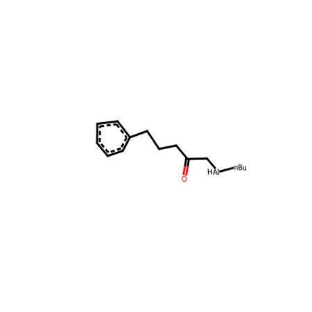 CCC[CH2][AlH][CH2]C(=O)CCCc1ccccc1